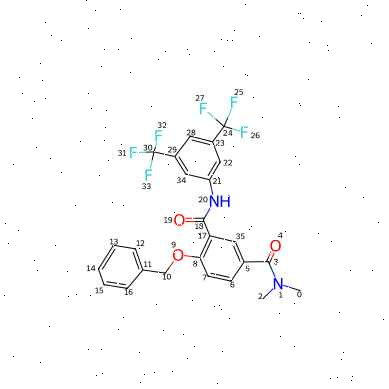 CN(C)C(=O)c1ccc(OCc2ccccc2)c(C(=O)Nc2cc(C(F)(F)F)cc(C(F)(F)F)c2)c1